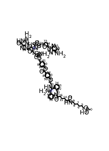 CP(O)OCCCCCCNC(=O)CCCCC(=O)N1Cc2ccccc2/C(NCCOc2ccc(C(=O)Oc3ccc(CS[P@](N)(=O)OC[C@H]4O[C@@H](n5cnc6c(=O)[nH]c(N)nc65)C/C4=N\P(=O)(S)OC[C@@H]4CC[C@H](n5cnc6c(N)ncnc65)O4)cc3)cc2)=C(/N)c2ccccc21